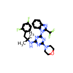 CC(C)(Cc1ccc(F)cc1F)Nc1nc(N2CCOCC2)nc(-n2c(C(F)F)nc3ccccc32)n1